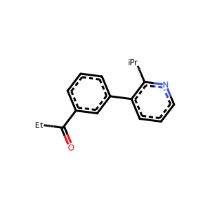 CCC(=O)c1cccc(-c2cccnc2C(C)C)c1